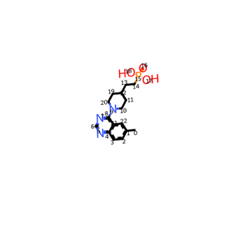 Cc1ccc2ncnc(N3CCC(CCP(=O)(O)O)CC3)c2c1